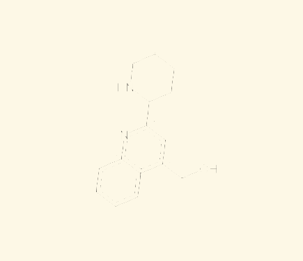 OCc1cc(C2CCCCN2)nc2ccccc12